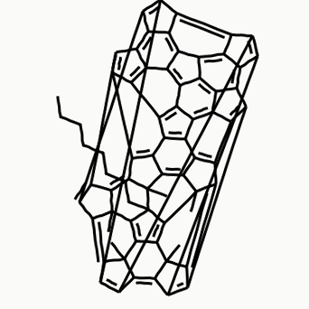 CCCCCCCCC12C3=C4C5=C1C1(C)c6c7c8c9c(c%10c%11c%12c(c%13c%14c%15c(c%16c%17c%18c(c1c1c6c6c8c8c%19c9c%11c9c%11c%12c%14c%12c%14c%15c%17c%15c%17c%18c1c1c6c8c6c(c9%19)c(c%11%12)c(c%14%15)c6c1%17)C%162C)C3%13C)C4%10C)C57C